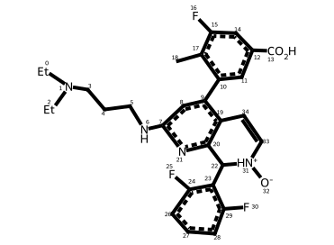 CCN(CC)CCCNc1cc(-c2cc(C(=O)O)cc(F)c2C)c2c(n1)C(c1c(F)cccc1F)[NH+]([O-])C=C2